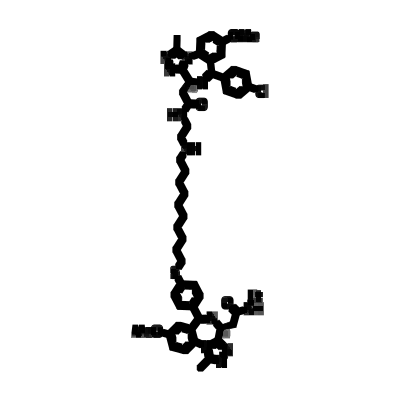 CCNC(=O)C[C@@H]1N=C(c2ccc(SCCCCCCCCCCNCCNC(=O)C[C@@H]3N=C(c4ccc(Cl)cc4)c4cc(OC)ccc4-n4c(C)nnc43)cc2)c2cc(OC)ccc2-n2c(C)nnc21